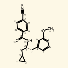 COc1cccc(C[C@H](CC2CC2)NC(=O)c2ccc(C#N)cc2)c1